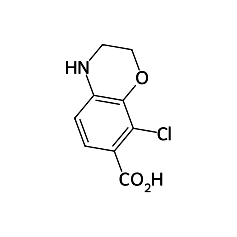 O=C(O)c1ccc2c(c1Cl)OCCN2